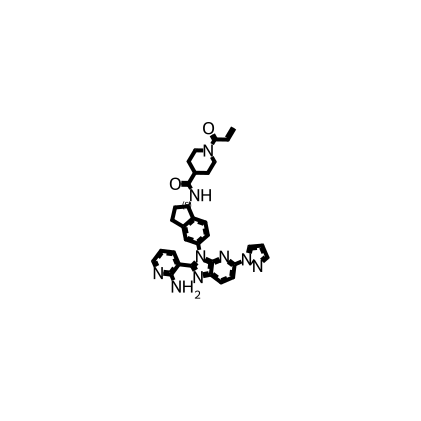 C=CC(=O)N1CCC(C(=O)N[C@H]2CCc3cc(-n4c(-c5cccnc5N)nc5ccc(-n6cccn6)nc54)ccc32)CC1